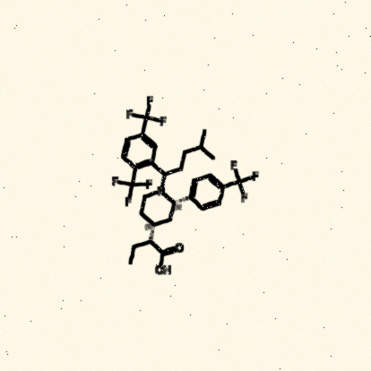 CCC(C(=O)O)[C@@H]1CCN(C(CCC(C)C)c2cc(C(F)(F)F)ccc2C(F)(F)F)[C@H](c2ccc(C(F)(F)F)cc2)C1